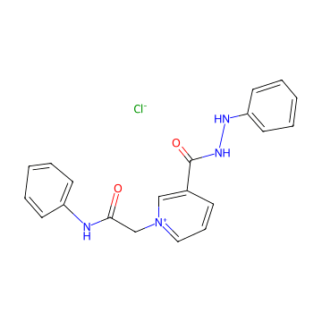 O=C(C[n+]1cccc(C(=O)NNc2ccccc2)c1)Nc1ccccc1.[Cl-]